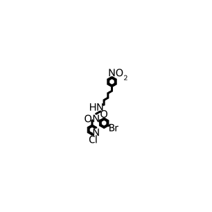 O=C(CN(C(=O)c1ccc(Cl)nc1)c1ccc(Br)cc1)NCCCCCc1ccc([N+](=O)[O-])cc1